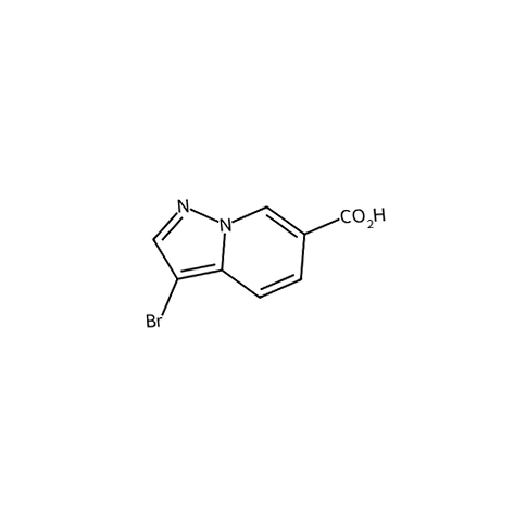 O=C(O)c1ccc2c(Br)cnn2c1